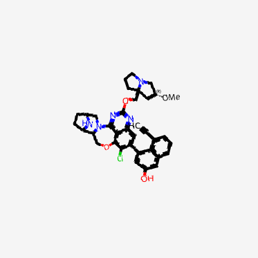 C#Cc1cccc2cc(O)cc(-c3cc4nc(OCC56CCCN5C[C@H](OC)C6)nc5c4c(c3Cl)OCC3C4CCC(CN53)N4)c12